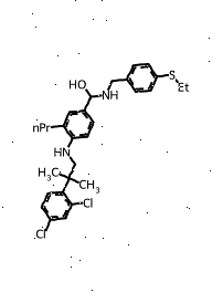 CCCc1cc(C(O)NCc2ccc(SCC)cc2)ccc1NCC(C)(C)c1ccc(Cl)cc1Cl